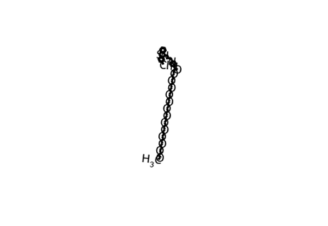 COCCOCCOCCOCCOCCOCCOCCOCCOCCOCCOCCOCCOCC(=O)N1CCN(CCCN2c3ccccc3Sc3ccc(Cl)cc32)CC1